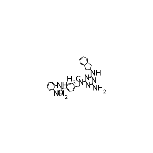 CN(Cc1ccc(C(=O)Nc2ccccc2N)cc1)c1nc(N)nc(NC2Cc3ccccc3C2)n1